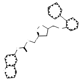 O=C(NCC1=NOC(COc2ccccc2-c2ccccc2)C1)Nc1ccc2ncccc2c1